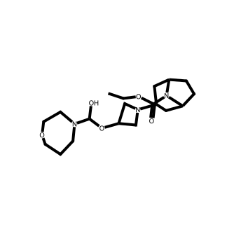 CCOC(=O)N1C2CCC1CC(N1CC(OC(O)N3CCCOCC3)C1)C2